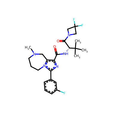 CN1CCCn2c(-c3cccc(F)c3)nc(C(=O)N[C@H](C(=O)N3CC(F)(F)C3)C(C)(C)C)c2C1